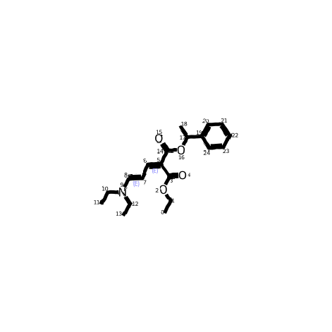 CCOC(=O)/C(=C\C=C\N(CC)CC)C(=O)OC(C)c1ccccc1